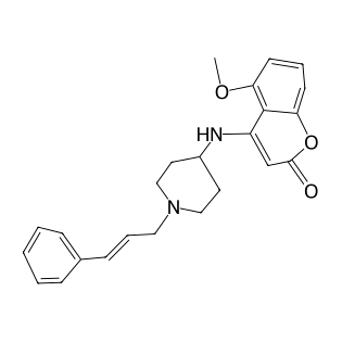 COc1cccc2oc(=O)cc(NC3CCN(CC=Cc4ccccc4)CC3)c12